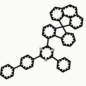 c1ccc(-c2ccc(-c3nc(-c4ccccc4)nc(-c4cccc5c4-c4ccccc4C54c5cccc6ccc7cccc4c7c56)n3)cc2)cc1